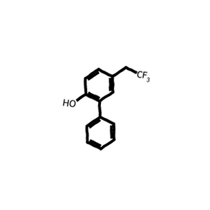 Oc1ccc(CC(F)(F)F)cc1-c1ccccc1